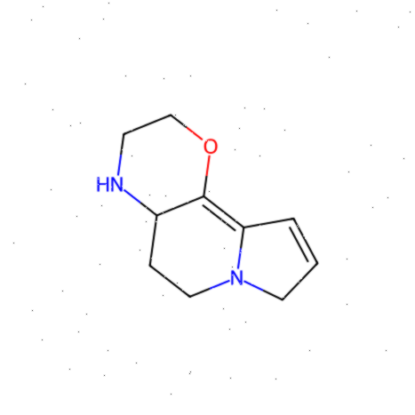 C1=CC2=C3OCCNC3CCN2C1